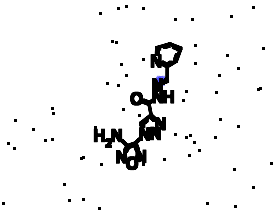 Nc1nonc1-n1cc(C(=O)N/N=C/c2ccccn2)nn1